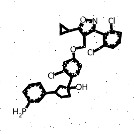 OC1(c2ccc(OCc3c(-c4c(Cl)cccc4Cl)noc3C3CC3)cc2Cl)CCC(c2cccc(P)c2)C1